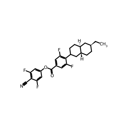 CC[C@H]1CC[C@@H]2CC(c3c(F)cc(C(=O)Oc4cc(F)c(C#N)c(F)c4)cc3F)CC[C@H]2C1